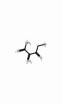 C=C(C(N)=O)C(=O)CBr